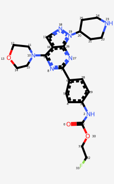 O=C(Nc1ccc(-c2nc(N3CCOCC3)c3cnn(C4CCNCC4)c3n2)cc1)OCCF